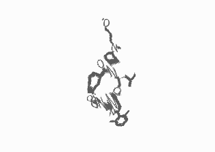 COCCCN(C)[C@H]1C[C@H](N2C(=O)c3cccc(c3)S(=O)(=O)Nc3nc(cc(-c4c(C)cccc4C)n3)OC[C@H]2CC(C)C)C1